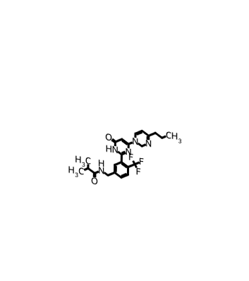 CCCC1=NCN(c2cc(=O)[nH]c(-c3cc(CNC(=O)C(C)C)ccc3C(F)(F)F)n2)C=C1